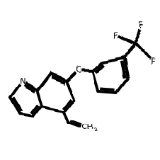 C=Cc1cc(Oc2cccc(C(F)(F)F)c2)cc2ncccc12